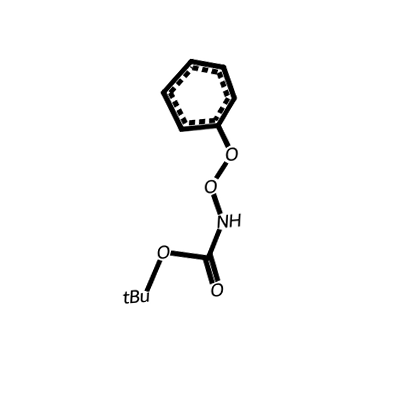 CC(C)(C)OC(=O)NOOc1ccccc1